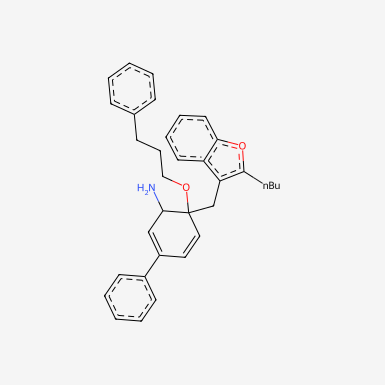 CCCCc1oc2ccccc2c1CC1(OCCCc2ccccc2)C=CC(c2ccccc2)=CC1N